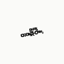 Cc1nc(N2CCC3(CC2)Cc2ccccc2C3)c(CO)nc1-c1ccc(N)c(C=N)c1